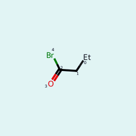 CCCC(=O)Br